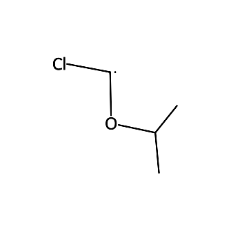 CC(C)O[CH]Cl